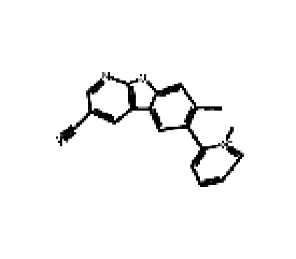 Cc1cc2oc3ncc(C#N)cc3c2cc1-c1cccc[n+]1C